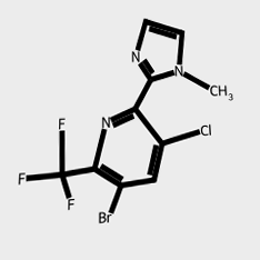 Cn1ccnc1-c1nc(C(F)(F)F)c(Br)cc1Cl